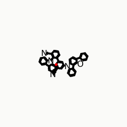 N#Cc1cc(-c2cccc(C#N)c2-n2c3ccccc3c3ccccc32)cc(-n2c3ccccc3c3c4oc5ccccc5c4ccc32)c1